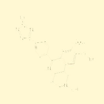 CCOc1cc2c(cc1OC)C(c1ccc(-c3nnn(CC)n3)cc1)=NC1CCN(C)CC21